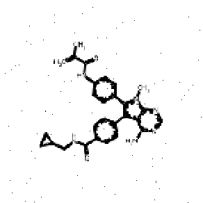 C=C(C)C(=O)Nc1ccc(-c2c(-c3ccc(C(=O)NCC4CC4)cc3)c3c(N)ncnc3n2C)cc1